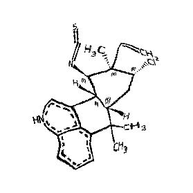 C=C[C@@]1(C)[C@H](Cl)C[C@H]2[C@H](c3c[nH]c4cccc(c34)C2(C)C)[C@H]1N=C=S